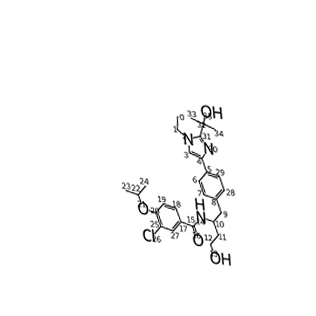 CCn1cc(-c2ccc(CC(CCO)NC(=O)c3ccc(OC(C)C)c(Cl)c3)cc2)nc1C(C)(C)O